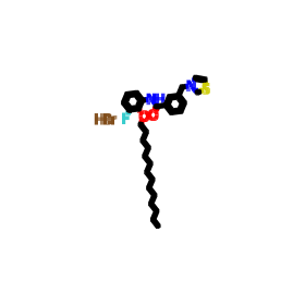 Br.CCCCCCCCCCCCCCOc1c(F)cccc1NC(=O)c1cccc(CN2C=CSC2)c1